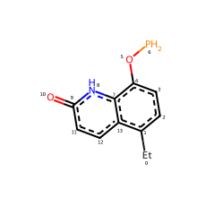 CCc1ccc(OP)c2[nH]c(=O)ccc12